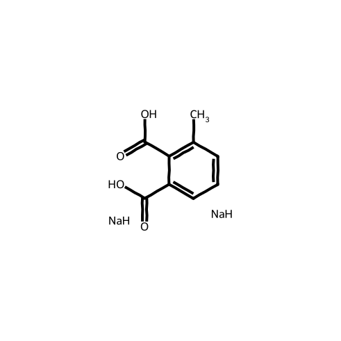 Cc1cccc(C(=O)O)c1C(=O)O.[NaH].[NaH]